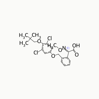 CO/N=C(/C(=O)O)c1ccccc1COc1cc(Cl)c(OCC(C)(C)C)c(Cl)c1